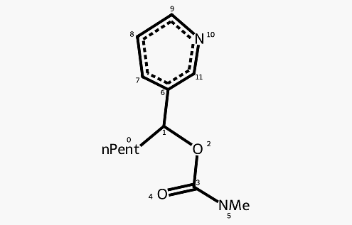 CCCCCC(OC(=O)NC)c1cccnc1